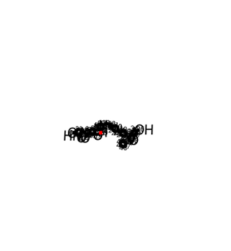 O=C1CCC(N2Cc3cc4c(cc3C2=O)OC[C@@H]2CN(CC3CC5(CCN(c6ccc([C@@H]7c8ccc(O)cc8OC[C@@H]7c7ccccc7)cc6)CC5)C3)CCN42)C(=O)N1